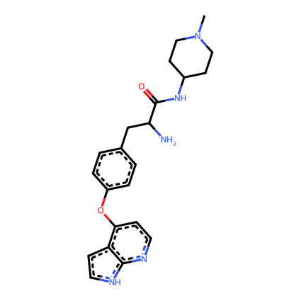 CN1CCC(NC(=O)C(N)Cc2ccc(Oc3ccnc4[nH]ccc34)cc2)CC1